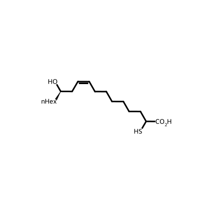 CCCCCC[C@@H](O)C/C=C\CCCCCCC(S)[13C](=O)O